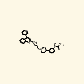 CC(=O)Nc1cccc(C2CCN(CCCNc3cc(-c4ccccc4)c4ccccc4n3)CC2)c1